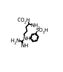 N=C(N)NCCCC(N)C(=O)O.O=S(=O)(O)c1ccccc1